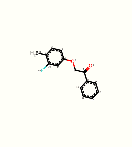 Bc1ccc(OCC(=O)c2ccccc2)cc1F